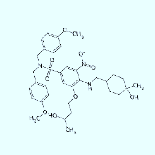 COc1ccc(CN(Cc2ccc(OC)cc2)S(=O)(=O)c2cc(OCCC(C)O)c(NCC3CCC(C)(O)CC3)c([N+](=O)[O-])c2)cc1